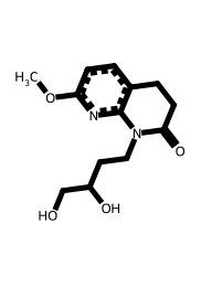 COc1ccc2c(n1)N(CCC(O)CO)C(=O)CC2